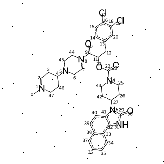 CN1CCC(N2CCN(C(=O)C(Cc3ccc(Cl)c(Cl)c3)OC(=O)N3CCC(n4c(=O)[nH]c5c6ccccc6ccc54)CC3)CC2)CC1